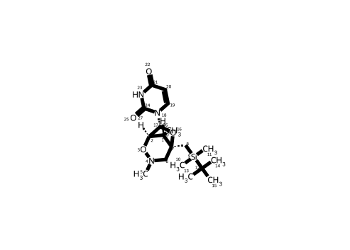 C[C@H]1[C@H]2ON(C)C[C@]1(C[Si](C)(C)C(C)(C)C)O[C@H]2n1ccc(=O)[nH]c1=O